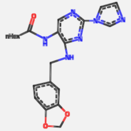 CCCCCCC(=O)Nc1cnc(-n2ccnc2)nc1NCc1ccc2c(c1)OCO2